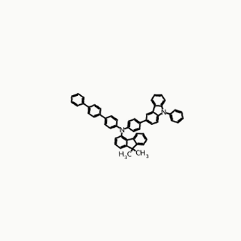 CC1(C)c2ccccc2-c2c(N(c3ccc(-c4ccc(-c5ccccc5)cc4)cc3)c3ccc(-c4ccc5c(c4)c4ccccc4n5-c4ccccc4)cc3)cccc21